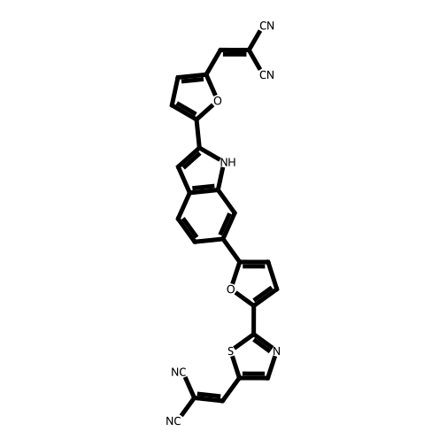 N#CC(C#N)=Cc1ccc(-c2cc3ccc(-c4ccc(-c5ncc(C=C(C#N)C#N)s5)o4)cc3[nH]2)o1